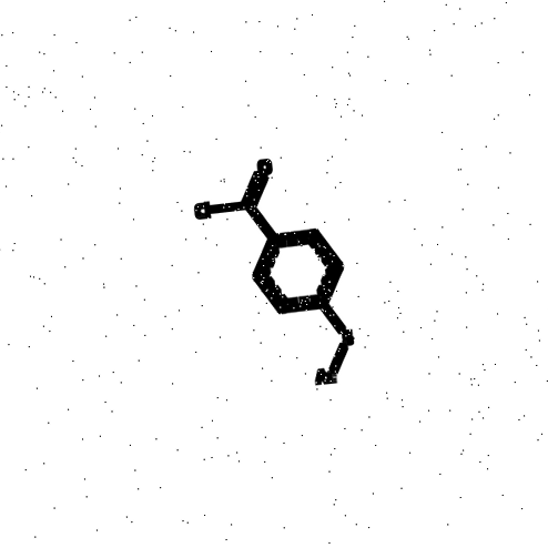 CC(=O)Sc1ccc(C(=O)Cl)cc1